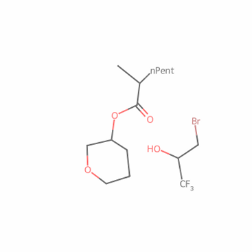 CCCCCC(C)C(=O)OC1CCCOC1.OC(CBr)C(F)(F)F